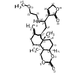 C=C1CCC2[C@]3(C)COC(=O)O[C@@H]3CC[C@@]2(C)[C@@H]1CC(NCCOC)C1=CCOC1=O